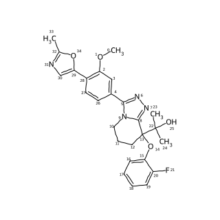 COc1cc(-c2nnc3n2CCCC3(Oc2ccccc2F)C(C)(C)O)ccc1-c1cnc(C)o1